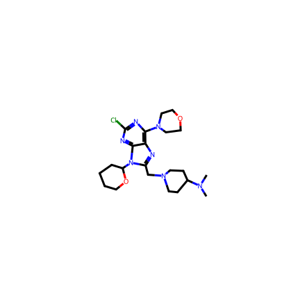 CN(C)C1CCN(Cc2nc3c(N4CCOCC4)nc(Cl)nc3n2C2CCCCO2)CC1